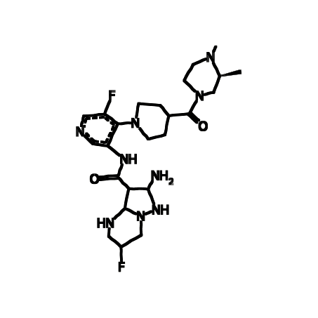 C[C@H]1CN(C(=O)C2CCN(c3c(F)cncc3NC(=O)C3C(N)NN4CC(F)CNC34)CC2)CCN1C